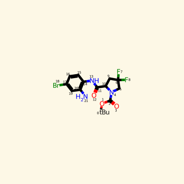 CC(C)(C)OC(=O)N1CC(F)(F)CC1C(=O)Nc1ccc(Br)cc1N